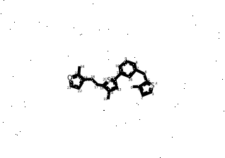 Cc1ccsc1Cc1cccc(-c2cc(C)c(CCc3ccoc3C)s2)c1